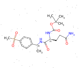 C[C@@H](NC(=O)[C@H](CCC(N)=O)NC(=O)OC(C)(C)C)c1ccc(S(C)(=O)=O)cc1